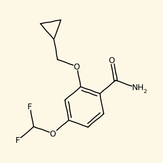 NC(=O)c1ccc(OC(F)F)cc1OCC1CC1